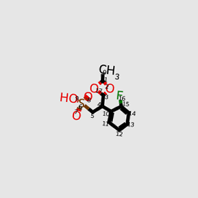 CC1OC(C(CS(=O)(=O)O)c2ccccc2F)O1